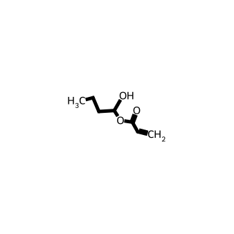 C=CC(=O)OC(O)CCC